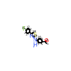 CC(=O)c1ccc(Nc2nc(-c3ccc(F)cc3)cs2)cc1